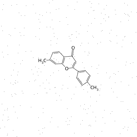 Cc1ccc(-c2cc(=O)c3ccc(C)cc3o2)cc1